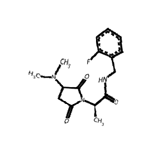 C[C@H](C(=O)NCc1ccccc1F)N1C(=O)CC(N(C)C)C1=O